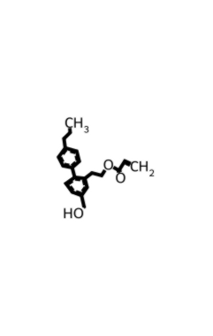 C=CC(=O)OCCc1cc(CO)ccc1-c1ccc(CCC)cc1